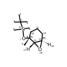 CC(C)(C)[Si](C)(C)O[C@]1(C)CCC[C@H]2O[C@@H]21